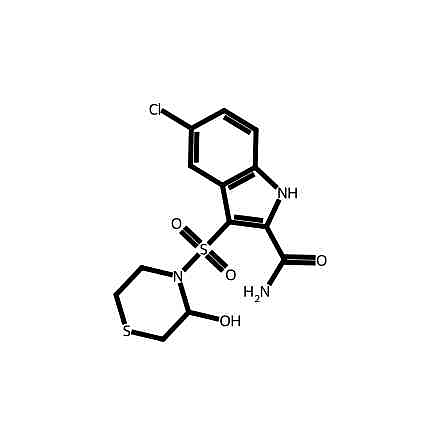 NC(=O)c1[nH]c2ccc(Cl)cc2c1S(=O)(=O)N1CCSCC1O